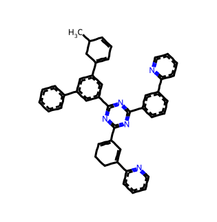 CC1C=CC=C(c2cc(-c3ccccc3)cc(-c3nc(C4=CCCC(c5ccccn5)=C4)nc(-c4cccc(-c5ccccn5)c4)n3)c2)C1